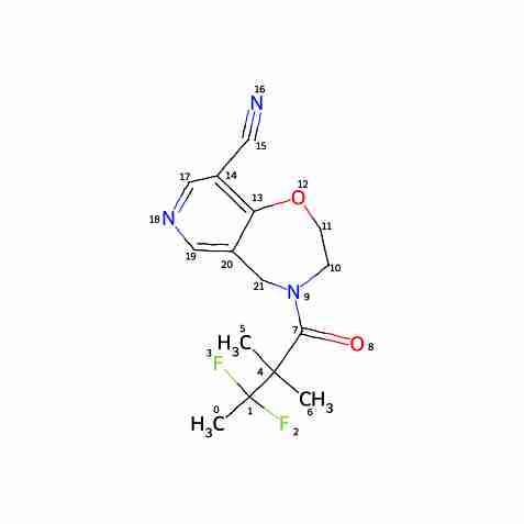 CC(F)(F)C(C)(C)C(=O)N1CCOc2c(C#N)cncc2C1